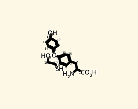 NC(Cc1ccc(Oc2ccc(O)cc2)cc1)C(=O)O.OCCS